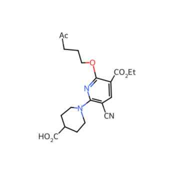 CCOC(=O)c1cc(C#N)c(N2CCC(C(=O)O)CC2)nc1OCCCC(C)=O